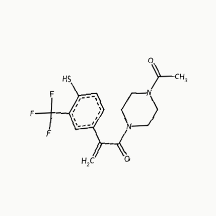 C=C(C(=O)N1CCN(C(C)=O)CC1)c1ccc(S)c(C(F)(F)F)c1